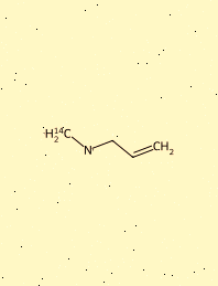 C=CC[N][14CH2]